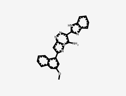 COc1cc(-c2cc3nnc(-c4nc5ccccc5[nH]4)c(N)n3n2)c2ccccc2c1